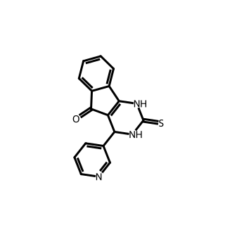 O=C1C2=C(NC(=S)NC2c2cccnc2)c2ccccc21